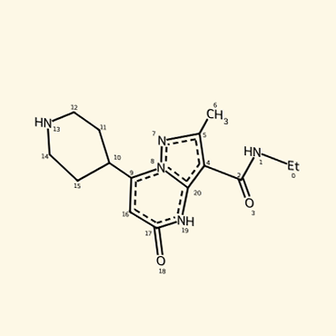 CCNC(=O)c1c(C)nn2c(C3CCNCC3)cc(=O)[nH]c12